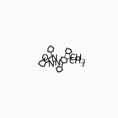 CC1(C)c2ccccc2-c2cc3c(cc21)c1ccccc1n3-c1nc(-c2ccccc2)c2oc3ccccc3c2n1